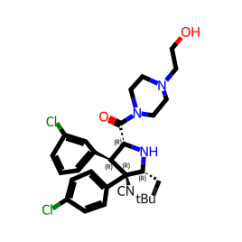 CC(C)(C)C[C@H]1N[C@@H](C(=O)N2CCN(CCO)CC2)[C@H](c2cccc(Cl)c2)[C@@]1(C#N)c1ccc(Cl)cc1